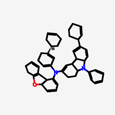 C1=CC2OC3=C(C=CCC3)C2C(N(C2=CCCC([C@@H]3CC=CCC3)=C2)C2=CC3C4C=C(C5C=CCCC5)C=CC4N(c4ccccc4)C3CC2)=C1